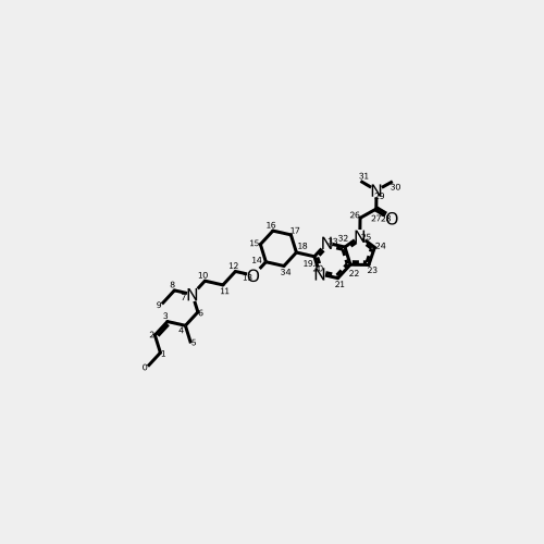 CC/C=C\C(C)CN(CC)CCCOC1CCCC(c2ncc3ccn(CC(=O)N(C)C)c3n2)C1